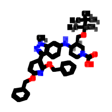 Cn1nc(-c2ccc(OCc3ccccc3)nc2OCc2ccccc2)c2ccc(N[C@@H]3CCN(C(=O)O)C[C@@H]3CO[Si](C)(C)C(C)(C)C)cc21